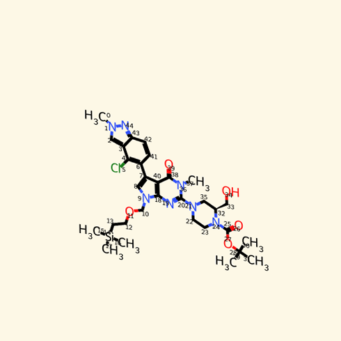 Cn1cc2c(Cl)c(-c3cn(COCC[Si](C)(C)C)c4nc(N5CCN(C(=O)OC(C)(C)C)[C@H](CO)C5)n(C)c(=O)c34)ccc2n1